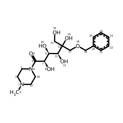 CN1CCN(C(=O)[C@H](O)[C@@H](O)[C@H](O)C(O)(CO)COCc2ccccc2)CC1